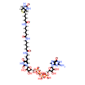 Nc1nc2c(ncn2[C@@H]2O[C@H](COP(=O)(O)OP(=O)(O)OP(=O)(O)OP(=O)(O)OC[C@H]3O[C@@H](n4cc(/C=C/CNC(=O)CCCCCNC(=O)CCCCCNC(=O)CCCC[C@H]5SC[C@H]6NC(=O)N[C@H]65)c(=O)[nH]c4=O)C(O)C3O)C(O)C2O)c(=O)[nH]1